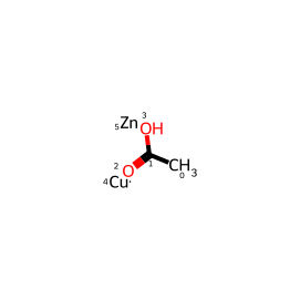 CC(=O)O.[Cu].[Zn]